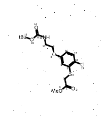 COC(=O)CSc1cc(OCCNC(=O)OC(C)(C)C)ccc1Cl